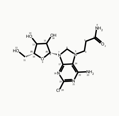 NC(=O)CCN1CN([C@@H]2O[C@H](CO)C(O)C2O)c2nc(Cl)nc(N)c21